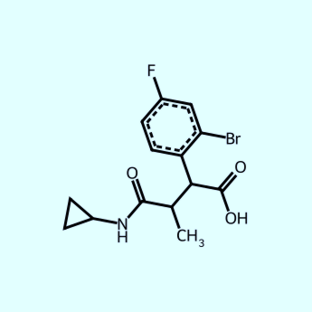 CC(C(=O)NC1CC1)C(C(=O)O)c1ccc(F)cc1Br